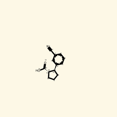 N#Cc1cccc([C@H]2CCC[C@@H]2C(=O)O)c1